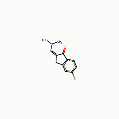 CN(C)/C=C1/Cc2cc(Cl)ccc2C1=O